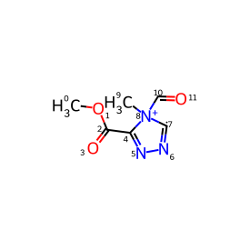 COC(=O)C1=NN=[C][N+]1(C)C=O